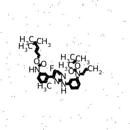 C=CCN(C(=O)OC(C)(C)C)c1cccc(Nc2ncc(F)c(-c3cc(NC(=O)OCC=CC(C)(C)C)ccc3C)n2)c1